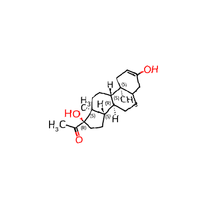 CC(=O)[C@@]1(O)CC[C@H]2[C@@H]3CCC4CC(O)=CC[C@]4(C)[C@H]3CC[C@@]21C